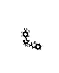 O=C(Cc1ccccc1F)Nc1ccn(-c2ccc(C(F)(F)F)cc2)n1